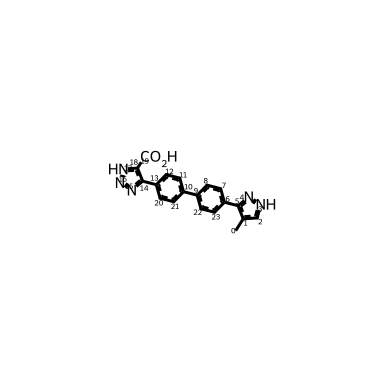 Cc1c[nH]nc1-c1ccc(-c2ccc(-c3nn[nH]c3C(=O)O)cc2)cc1